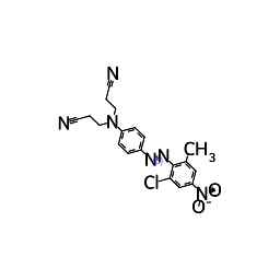 Cc1cc([N+](=O)[O-])cc(Cl)c1/N=N/c1ccc(N(CCC#N)CCC#N)cc1